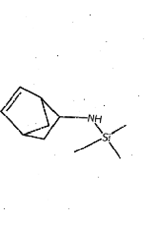 C[Si](C)(C)NC1CC2C=CC1C2